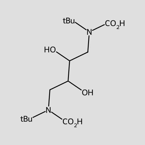 CC(C)(C)N(CC(O)C(O)CN(C(=O)O)C(C)(C)C)C(=O)O